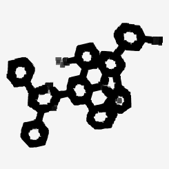 N#Cc1cccc(-c2ccc3c(c2)c2ccccc2n3-c2c(-c3ccccc3C(F)(F)F)cc(-c3nc(-c4ccccc4)cc(-c4ccccc4)n3)cc2-c2ccccc2C(F)(F)F)c1